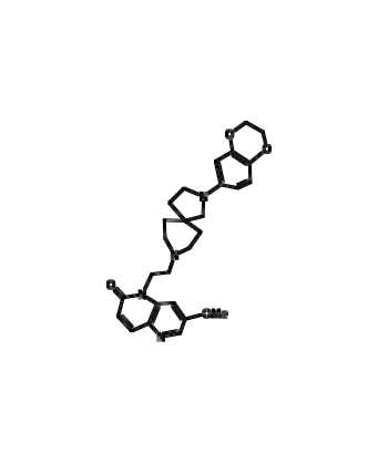 COc1cnc2ccc(=O)n(CCN3CCC4(CC3)CCN(c3ccc5c(c3)OCCO5)C4)c2c1